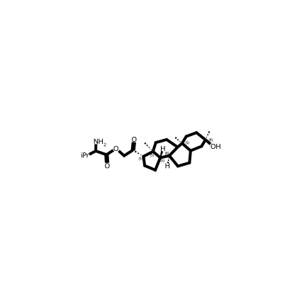 CC(C)C(N)C(=O)OCC(=O)[C@H]1CC[C@H]2[C@@H]3CCC4C[C@](C)(O)CC[C@]4(C)C3CC[C@]12C